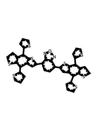 c1csc(-c2c3cc(-c4ccc(-c5cc6c(-c7cccs7)c7sccc7c(-c7cccs7)c6s5)c5nonc45)sc3c(-c3cccs3)c3ccsc23)c1